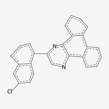 Clc1ccc2c(-c3cnc4c5ccccc5c5ccccc5c4n3)cccc2c1